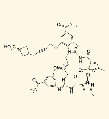 CCn1nc(C)cc1C(=O)Nc1nc2cc(C(N)=O)cc(OC)c2n1C/C=C/Cn1c(NC(=O)c2cc(C)nn2CC)nc2cc(C(N)=O)cc(OCC#CCC3CN(C(=O)O)C3)c21